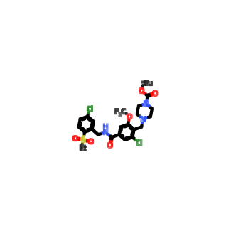 CCS(=O)(=O)c1ccc(Cl)cc1CNC(=O)c1cc(Cl)c(CN2CCN(C(=O)OC(C)(C)C)CC2)c(OC(F)(F)F)c1